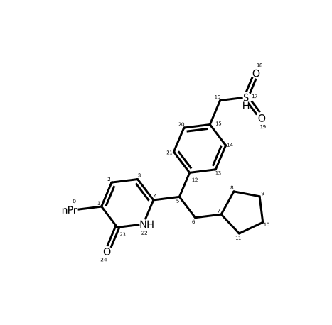 CCCc1ccc(C(CC2CCCC2)c2ccc(C[SH](=O)=O)cc2)[nH]c1=O